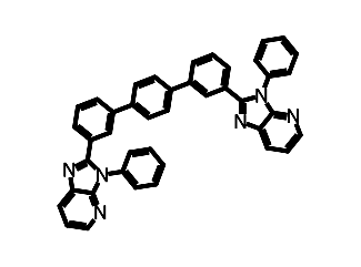 c1ccc(-n2c(-c3cccc(-c4ccc(-c5cccc(-c6nc7cccnc7n6-c6ccccc6)c5)cc4)c3)nc3cccnc32)cc1